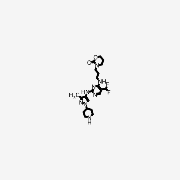 Cc1nn(C2CCNCC2)cc1Nc1ncc(C(F)F)c(NCCCN2CCCOC2=O)n1